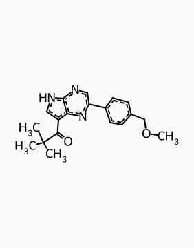 COCc1ccc(-c2cnc3[nH]cc(C(=O)C(C)(C)C)c3n2)cc1